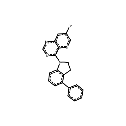 Brc1cnc2c(N3CCc4c(-c5ccccc5)cccc43)ncnc2c1